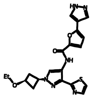 CCO[C@H]1C[C@@H](n2cc(NC(=O)c3ccc(-c4cn[nH]c4)o3)c(-c3nccs3)n2)C1